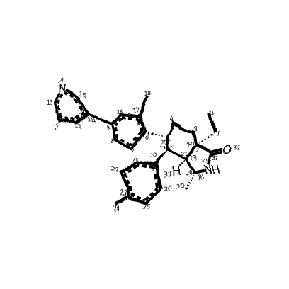 CC[C@@]12CC[C@@H](c3ccc(-c4cccnc4)cc3C)[C@H](c3ccc(C)cc3)[C@@H]1[C@@H](C)NC2=O